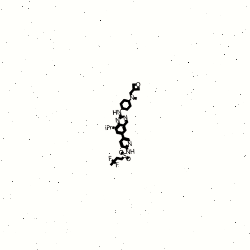 CC(C)c1cc(-c2ccc(NS(=O)(=O)CCC(C)(F)F)nc2)cc2cnc(N[C@H]3CC[C@H](N(C)CC4COC4)CC3)nc12